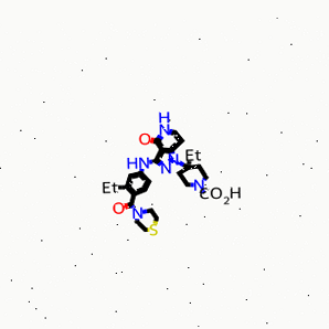 CCc1cc(Nc2nn(C3(CC)CCN(C(=O)O)CC3)c3cc[nH]c(=O)c23)ccc1C(=O)N1CCSCC1